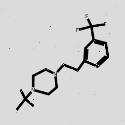 CC(C)(C)N1CCN(CCc2cccc(C(F)(F)F)c2)CC1